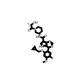 COc1cc(OCC2CC2)c(-c2ncnc3c(C(=O)N[C@@H]4CCCN(C(=O)[C@H](C)O)C4)c[nH]c23)cc1F